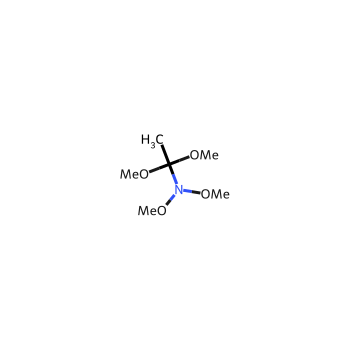 CON(OC)C(C)(OC)OC